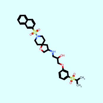 CC(C)S(=O)(=O)c1cccc(OCC(O)CNC2COC3(CCN(S(=O)(=O)c4ccc5ccccc5c4)CC3)C2)c1